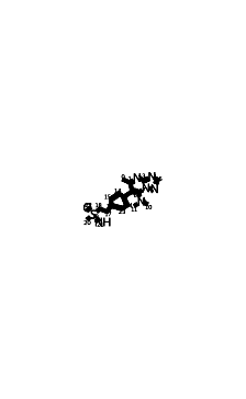 Cc1nc2ncnn2c(N(C)C)c1-c1ccc(CCS(C)(=N)=O)cc1